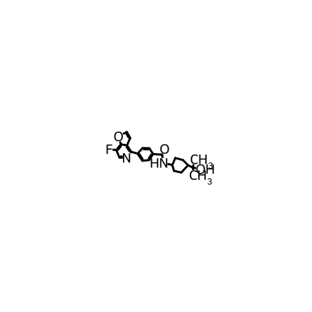 CC(C)(O)C1CCC(NC(=O)c2ccc(-c3ncc(F)c4occc34)cc2)CC1